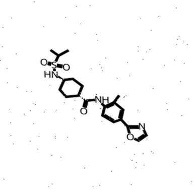 Cc1cc(-c2ncco2)ccc1NC(=O)[C@H]1CC[C@H](NS(=O)(=O)C(C)C)CC1